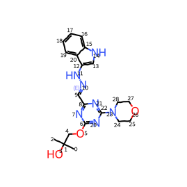 CC(C)(O)COc1nc(/C=N/Nc2c[nH]c3ccccc23)nc(N2CCOCC2)n1